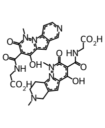 CN1CCc2c(cc3c(O)c(C(=O)NCC(=O)O)c(=O)n(C)n23)C1.Cn1c(=O)c(C(=O)NCC(=O)O)c(O)c2cc3cnccc3n21